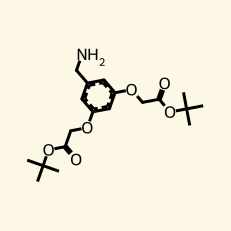 CC(C)(C)OC(=O)COc1cc(CN)cc(OCC(=O)OC(C)(C)C)c1